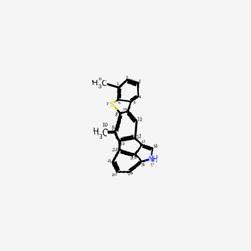 Cc1cccc2c1sc1c(C)c3c(cc12)-c1c[nH]c2cccc-3c12